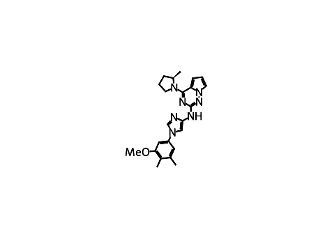 COc1cc(-n2cnc(Nc3nc(N4CCC[C@H]4C)c4cccn4n3)c2)cc(C)c1C